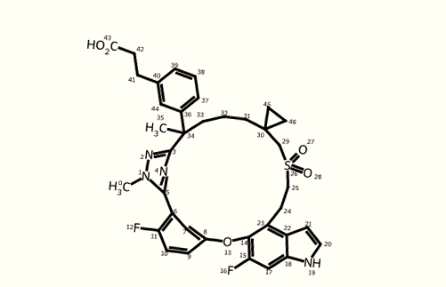 Cn1nc2nc1-c1cc(ccc1F)Oc1c(F)cc3[nH]ccc3c1CCS(=O)(=O)CC1(CCCC2(C)c2cccc(CCC(=O)O)c2)CC1